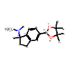 CN(C(=O)O)C1(C)CCc2cc(B3OC(C)(C)C(C)(C)O3)ccc21